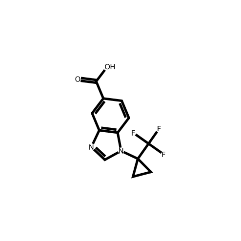 O=C(O)c1ccc2c(c1)ncn2C1(C(F)(F)F)CC1